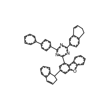 C1=Cc2cc(-c3nc(-c4ccc(-c5ccccc5)cc4)nc(-c4cc(C5CC=Cc6ccccc65)cc5oc6ccccc6c45)n3)ccc2CC1